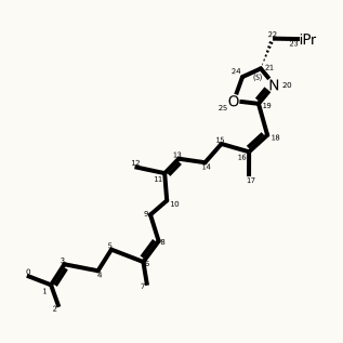 CC(C)=CCCC(C)=CCCC(C)=CCCC(C)=CC1=N[C@@H](CC(C)C)CO1